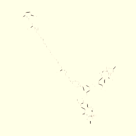 C=C1C[C@H]2C=Nc3cc(OCc4cc(COc5cc6c(cc5OC)C(=O)N5CC(=C)C[C@H]5C=N6)cc(N5CCN(CCCNC(=O)CCOCCOCCOCCOCCNC(=O)CCN6C(=O)C=CC6=O)CC5)c4)c(OC)cc3C(=O)N2C1